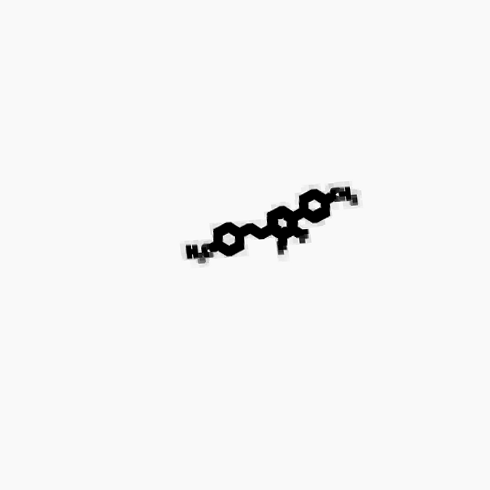 CC1C=CC(c2ccc(CCC3CCC(C)CC3)c(F)c2F)CC1